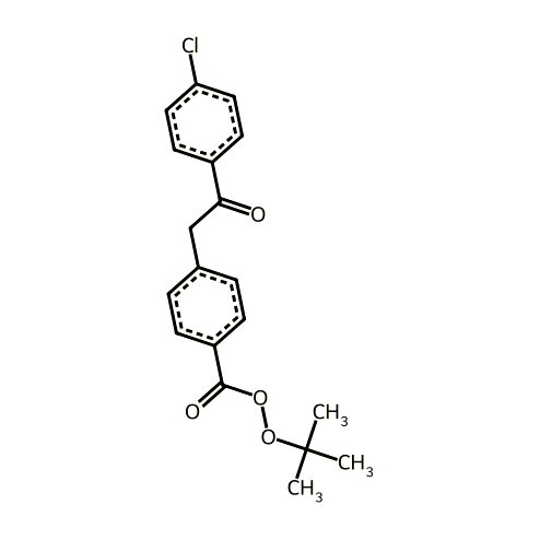 CC(C)(C)OOC(=O)c1ccc(CC(=O)c2ccc(Cl)cc2)cc1